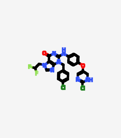 O=c1nc(Nc2ccc(OC3=CN=C(Cl)NC3)cc2)n(Cc2ccc(Cl)cc2)c2ncn(CC(F)F)c12